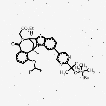 CCOC(=O)CN1C(=O)c2cccc(OC(F)F)c2[C@H]2C[C@@H]1c1nc3ccc(-c4cnc(C(C)(C)O[Si](C)(C)C(C)(C)C)nc4)cc3n12